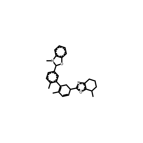 CC1=C(c2cc(C3Oc4ccccc4N3C)ccc2C)CC(c2nc3c(o2)C(C)CCC3)C=C1